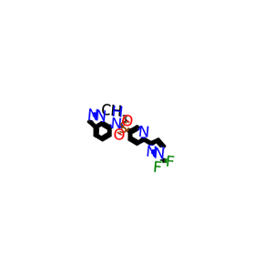 Cn1ncc2cccc(NS(=O)(=O)c3ccc(-c4ccn(C(F)F)n4)nc3)c21